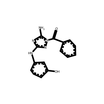 Nc1nc(Nc2cccc(O)c2)nn1C(=O)c1ccccc1